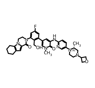 C[C@@H]1CN(C2COC2)CCN1c1ccc(Nc2cc(-c3cc(F)cc(N4CCn5c(cc6c5CCCC6)C4=O)c3CO)cn(C)c2=O)nc1